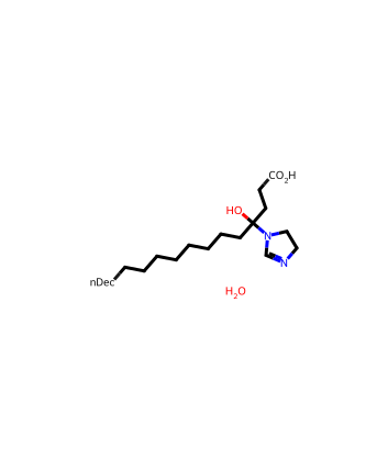 CCCCCCCCCCCCCCCCCCC(O)(CCC(=O)O)N1C=NCC1.O